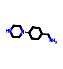 NC[C@H]1CC[C@H](N2CCNCC2)CC1